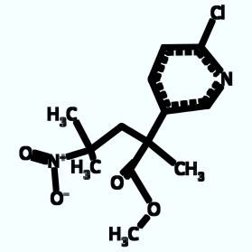 COC(=O)C(C)(CC(C)(C)[N+](=O)[O-])c1ccc(Cl)nc1